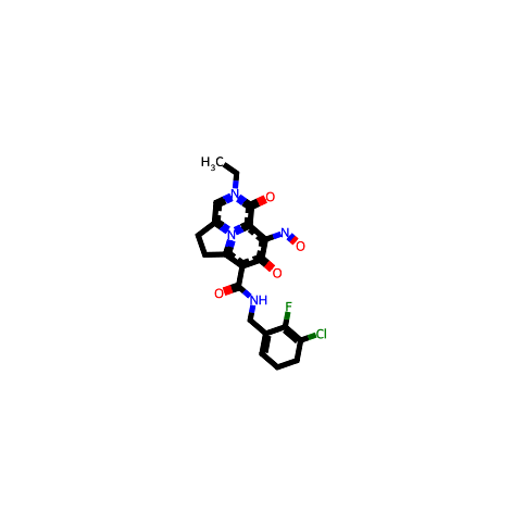 CCn1cc2n3c(c(C(=O)NCC4=CCCC(Cl)=C4F)c(=O)c(N=O)c3c1=O)CC2